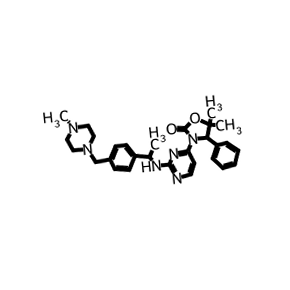 CC(Nc1nccc(N2C(=O)OC(C)(C)C2c2ccccc2)n1)c1ccc(CN2CCN(C)CC2)cc1